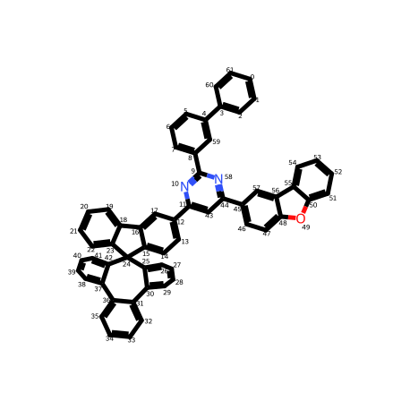 c1ccc(-c2cccc(-c3nc(-c4ccc5c(c4)-c4ccccc4C54c5ccccc5-c5ccccc5-c5ccccc54)cc(-c4ccc5oc6ccccc6c5c4)n3)c2)cc1